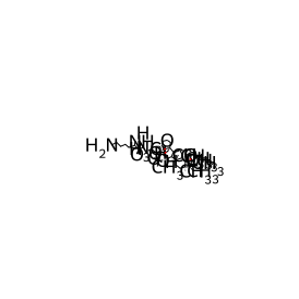 CC(=O)O[C@@H]1C[C@]23COC[C@@](C)([C@@H]2CC[C@H]2C3=CC[C@@]3(C)[C@H](C(=O)O)[C@@](C)([C@H](C)C(C)C)CC[C@]23C)[C@H]1OCCNC(=O)C(N)CCCCN